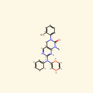 CN1C(=O)N(c2ccccc2Br)Cc2cnc(N(C3=CC=CCC3)C3=COC=CO3)nc21